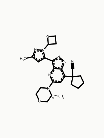 Cc1cc(-c2nsc3c(C4(C#N)CCCC4)cc(N4CCOC[C@H]4C)nc23)n(C2CCO2)n1